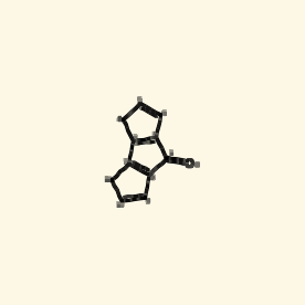 O=C1C2=C(CC=C2)C2=C1C=CC2